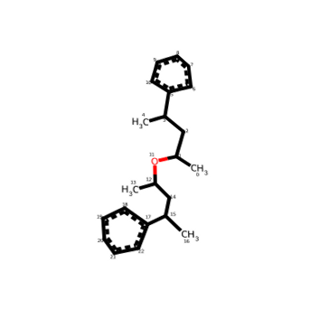 CC(CC(C)c1ccccc1)OC(C)CC(C)c1ccccc1